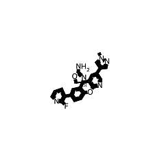 Cn1cc(-c2cnc3c(c2)[C@]2(COC(N)=N2)c2cc(-c4cccnc4F)ccc2O3)cn1